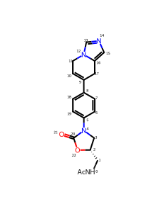 CC(=O)NC[C@H]1CN(c2ccc(C3=CCn4cncc4C3)cc2)C(=O)O1